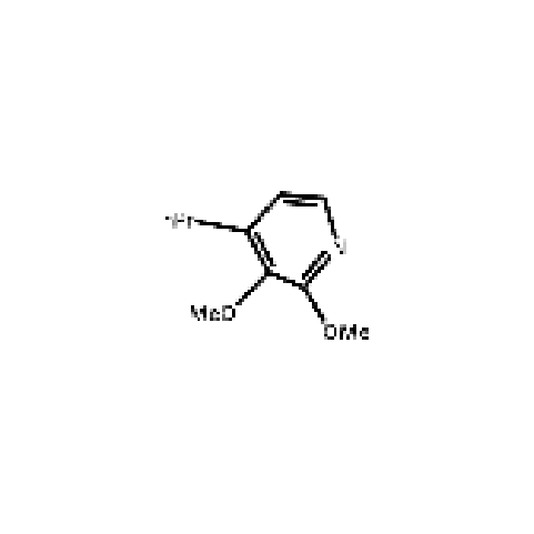 CCCc1ccnc(OC)c1OC